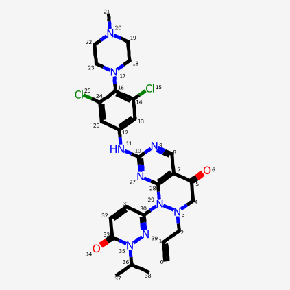 C=CCN1CC(=O)c2cnc(Nc3cc(Cl)c(N4CCN(C)CC4)c(Cl)c3)nc2N1c1ccc(=O)n(C(C)C)n1